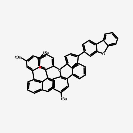 CC(C)(C)c1cc(-c2cccc3cccc(-c4ccccc4N(c4ccc(-c5ccc6c(c5)oc5ccccc56)cc4)c4ccc(C(C)(C)C)cc4-c4ccccc4)c23)cc(C(C)(C)C)c1